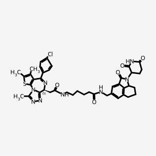 Cc1sc2c(c1C)C(c1ccc(Cl)cc1)=N[C@@H](CC(=O)NCCCCCC(=O)NCc1cc3c4c(c1)C(=O)N(C1CCC(=O)NC1=O)C4CCC3)c1nnc(C)n1-2